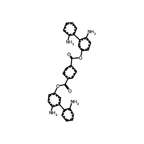 Nc1ccccc1-c1cc(OC(=O)c2ccc(C(=O)Oc3ccc(N)c(-c4ccccc4N)c3)cc2)ccc1N